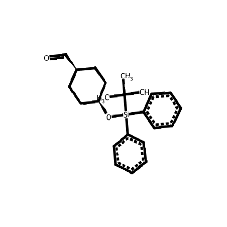 CC(C)(C)[Si](O[C@H]1CC[C@@H](C=O)CC1)(c1ccccc1)c1ccccc1